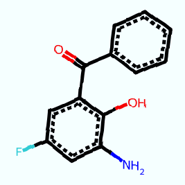 Nc1cc(F)cc(C(=O)c2ccccc2)c1O